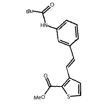 COC(=O)c1sccc1/C=C/c1cccc(NC(=O)C(C)(C)C)c1